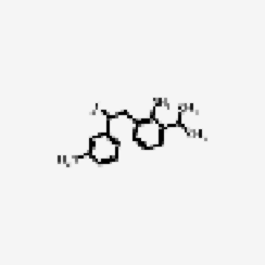 CC(C)c1cccc(CC(C)c2cccc(N)c2)c1N